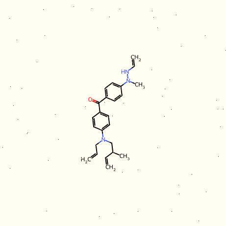 C=CCN(CC(C)C=C)c1ccc(C(=O)c2ccc(N(C)NC=C)cc2)cc1